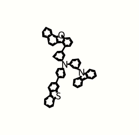 c1cc(-c2cccc3oc4c5ccccc5ccc4c23)cc(N(c2ccc(-c3ccc4c(c3)sc3ccccc34)cc2)c2cccc(-n3c4ccccc4c4ccccc43)c2)c1